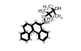 CC(C)(O)C(C)(C)OBc1cc2ccc3ccccc3c2c2ccccc12